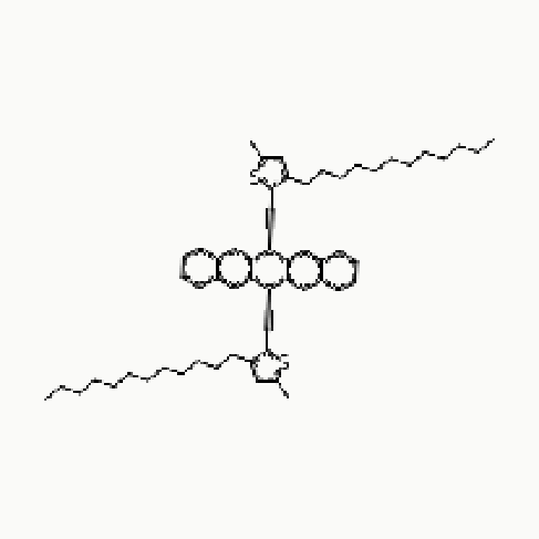 CCCCCCCCCCCCc1cc(C)sc1C#Cc1c2cc3ccccc3cc2c(C#Cc2sc(C)cc2CCCCCCCCCCCC)c2cc3ccccc3cc12